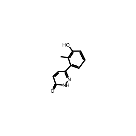 Cc1c(O)cccc1-c1ccc(=O)[nH]n1